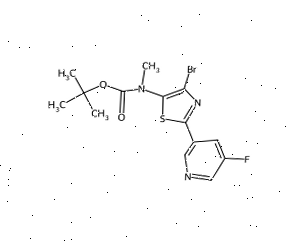 CN(C(=O)OC(C)(C)C)c1sc(-c2cncc(F)c2)nc1Br